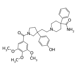 COc1cc(C(=O)N2CCC(CCN3CCC(C(N)=O)(c4ccccc4)CC3)(c3ccc(O)cc3)C2)cc(OC)c1OC